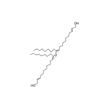 CCCCCCCC/C(=C\CCCCCCCC=CCO)O/C(=C/CCCCCCCC=CCO)CCCCCCCC